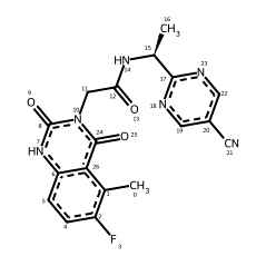 Cc1c(F)ccc2[nH]c(=O)n(CC(=O)N[C@@H](C)c3ncc(C#N)cn3)c(=O)c12